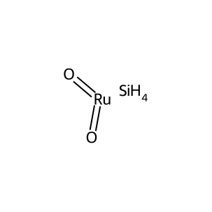 [O]=[Ru]=[O].[SiH4]